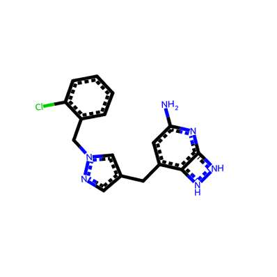 Nc1cc(Cc2cnn(Cc3ccccc3Cl)c2)c2[nH][nH]c2n1